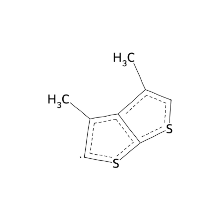 Cc1[c]sc2scc(C)c12